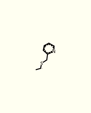 C[CH]SCc1ccccn1